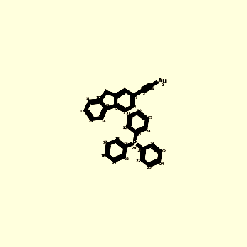 [Au][C]#Cc1ccc2c(c1)Cc1ccccc1-2.c1ccc(P(c2ccccc2)c2ccccc2)cc1